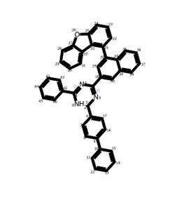 N/C(=N\C(=N/Cc1ccc(-c2ccccc2)cc1)c1cc(-c2cccc3oc4ccccc4c23)c2ccccc2c1)c1ccccc1